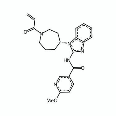 C=CC(=O)N1CCC[C@@H](n2c(NC(=O)c3ccc(OC)nc3)nc3ccccc32)CC1